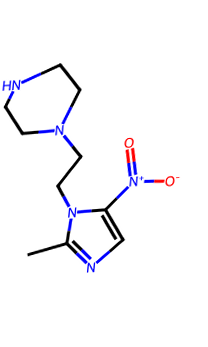 Cc1ncc([N+](=O)[O-])n1CCN1CCNCC1